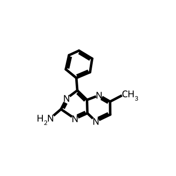 Cc1cnc2nc(N)nc(-c3ccccc3)c2n1